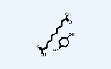 O=C(O)CCCCCCCCC(=O)O.OC1CCC(O)CC1